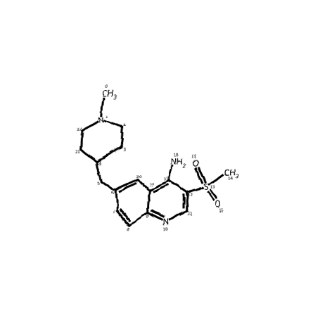 CN1CCC(Cc2ccc3ncc(S(C)(=O)=O)c(N)c3c2)CC1